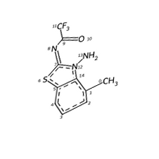 Cc1cccc2sc(=NC(=O)C(F)(F)F)n(N)c12